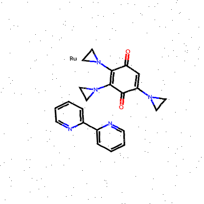 O=C1C=C(N2CC2)C(=O)C(N2CC2)=C1N1CC1.[Ru].c1ccc(-c2ccccn2)nc1